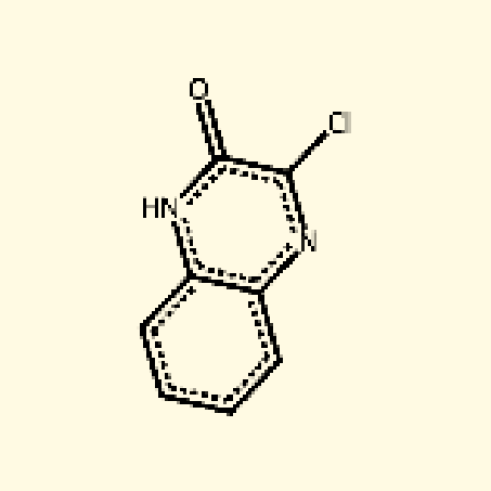 O=c1[nH]c2ccccc2nc1Cl